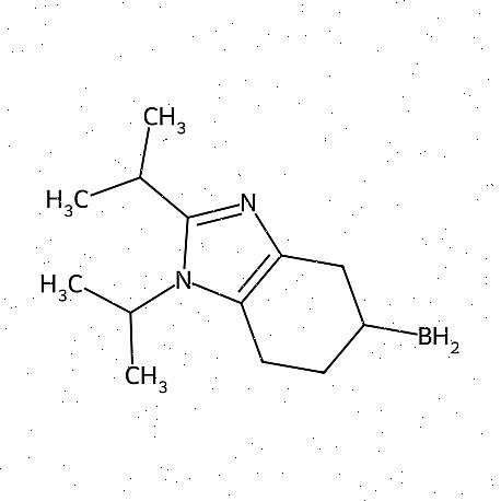 BC1CCc2c(nc(C(C)C)n2C(C)C)C1